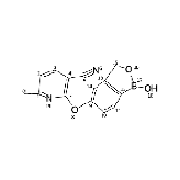 Cc1ccc(C#N)c(Oc2ccc3c(c2)COB3O)n1